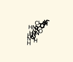 CCn1cc2c(Cl)c(-c3c[nH]c4nc(N5C[C@@H]6CC[C@@H]5[C@H](NC)C6)n(C)c(=O)c34)ccc2n1